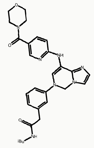 CCC(C)NC(=O)Cc1cccc(N2C=C(Nc3ccc(C(=O)N4CCOCC4)cn3)C3=NC=C[N+]3C2)c1